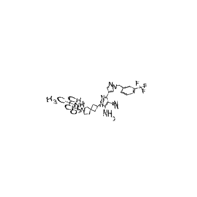 CC(C)(C)NC(=O)N1CC[C@]2(C1)C[C@H](n1nc(-c3cnn(Cc4cccc(C(F)(F)F)c4)c3)c(C#N)c1N)C2